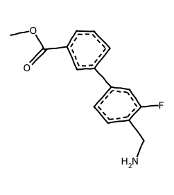 COC(=O)c1cccc(-c2ccc(CN)c(F)c2)c1